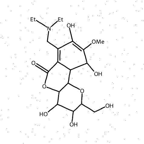 CCN(CC)CC1=C2C(=O)OC3C(O)C(O)C(CO)OC3C2C(O)C(OC)=C1O